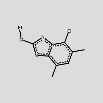 CCOc1nc2c(C)cc(C)c(Cl)n2n1